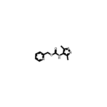 Cc1nsc(C)c1NC(=O)OCc1ccccn1